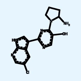 NC1CCCN1c1nc(-c2c[nH]c3ncc(Cl)cc23)ncc1O